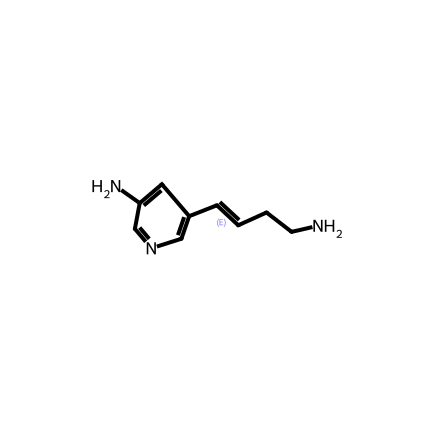 NCC/C=C/c1cncc(N)c1